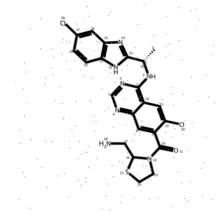 C[C@H](Nc1ncnc2cc(C(=O)N3CCSC3CN)c(Cl)cc12)c1nc2cc(Cl)ccc2[nH]1